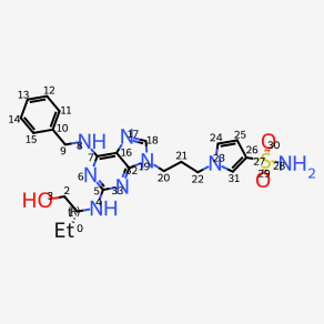 CC[C@H](CO)Nc1nc(NCc2ccccc2)c2ncn(CCCn3ccc(S(N)(=O)=O)c3)c2n1